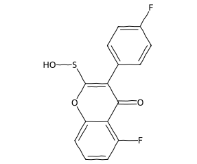 O=c1c(-c2ccc(F)cc2)c(SO)oc2cccc(F)c12